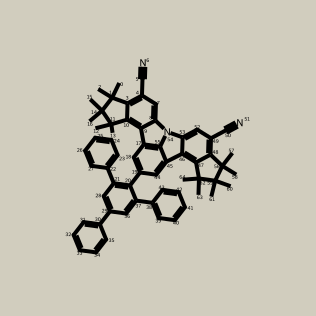 CC1(C)c2c(C#N)cc3c(c2C(C)(C)C1(C)C)c1cc(-c2c(-c4ccccc4)cc(-c4ccccc4)cc2-c2ccccc2)cc2c4c5c(c(C#N)cc4n3c12)C(C)(C)C(C)(C)C5(C)C